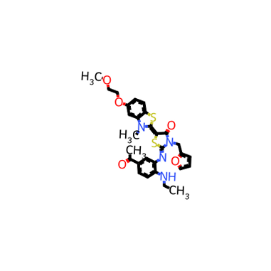 CCNc1ccc(C(C)=O)cc1N=C1SC(=C2Sc3ccc(OCCOC)cc3N2C)C(=O)N1Cc1ccco1